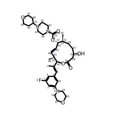 C/C(=C\c1cc(F)cc(N2CCOCC2)c1)C1OC(=O)C[C@H](O)CC[C@H](C)[C@@H](OC(=O)N2CCN(C3CCOCC3)CC2)/C=C/[C@@H]1C